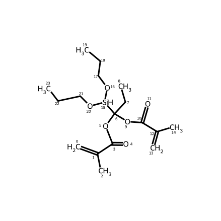 C=C(C)C(=O)OC(CC)(OC(=O)C(=C)C)[SiH](OCCC)OCCC